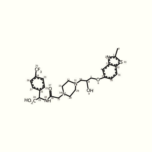 Cc1nc2cc(OCC(O)CN3CCN(CC(=O)NC(C(=O)O)c4ccc(C(F)(F)F)cc4)CC3)ccc2s1